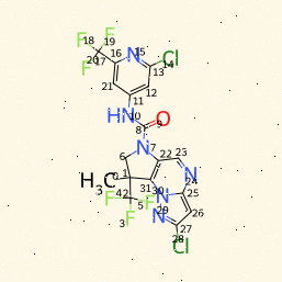 CC1(C(F)(F)F)CN(C(=O)Nc2cc(Cl)nc(C(F)(F)F)c2)c2cnc3cc(Cl)nn3c21